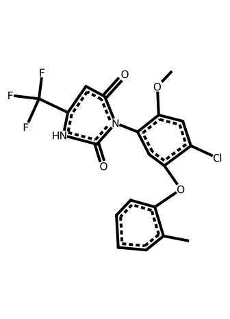 COc1cc(Cl)c(Oc2ccccc2C)cc1-n1c(=O)cc(C(F)(F)F)[nH]c1=O